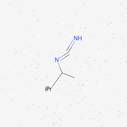 CC(C)C(C)N=C=N